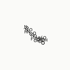 Cc1nccc(C(=O)Nc2ccn([C@@H]3O[C@H](COP(=O)(N[C@@H](C)C(=O)O)Oc4ccccc4)[C@@H](O)[C@H]3F)c(=O)c2)n1